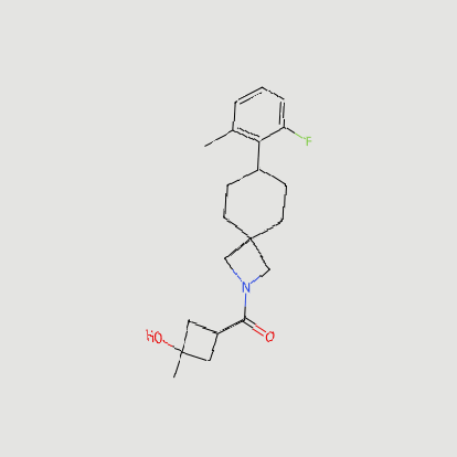 Cc1cccc(F)c1C1CCC2(CC1)CN(C(=O)C1CC(C)(O)C1)C2